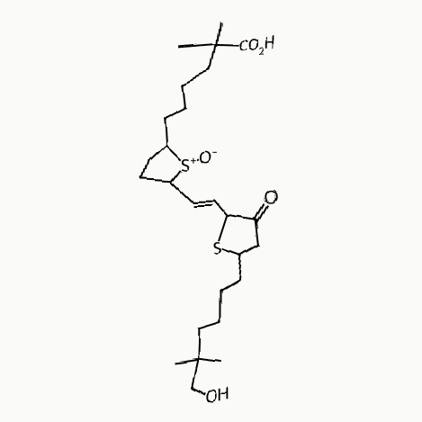 CC(C)(CO)CCCCC1CC(=O)C(C=CC2CCC(CCCCC(C)(C)C(=O)O)[S+]2[O-])S1